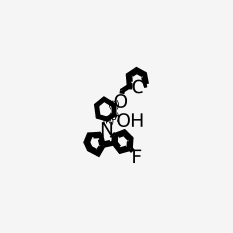 O[C@H]1[C@H](n2c3ccccc3c3cc(F)ccc32)CCC[C@H]1OCc1ccccc1